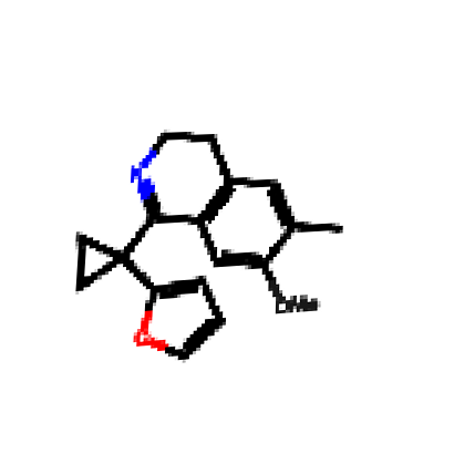 COc1cc2c(cc1C)CCN=C2C1(c2ccco2)CC1